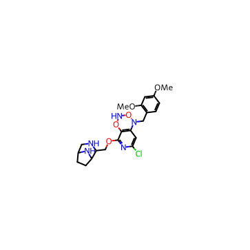 COc1ccc(Cn2o[nH]oc3c(OCC4NCC5CCC4N5)nc(Cl)cc32)c(OC)c1